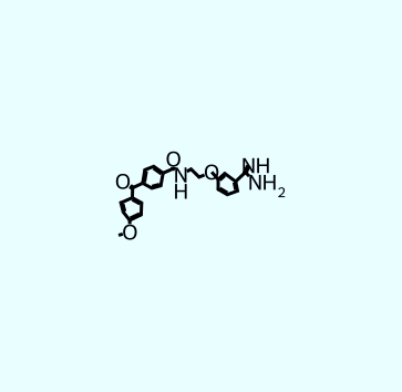 COc1ccc(C(=O)c2ccc(C(=O)NCCOc3cccc(C(=N)N)c3)cc2)cc1